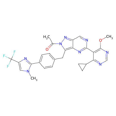 COc1ncnc(C2CC2)c1-c1ncc2nn(C(C)=O)c(Cc3ccc(-c4nc(C(F)(F)F)cn4C)cc3)c2n1